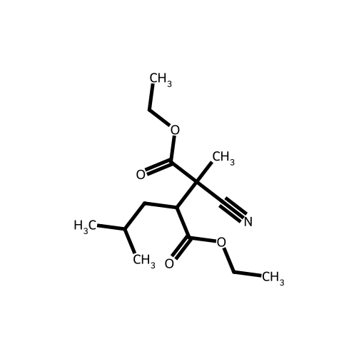 CCOC(=O)C(CC(C)C)C(C)(C#N)C(=O)OCC